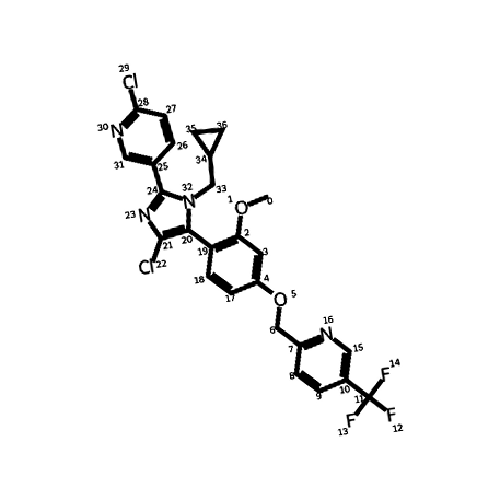 COc1cc(OCc2ccc(C(F)(F)F)cn2)ccc1-c1c(Cl)nc(-c2ccc(Cl)nc2)n1CC1CC1